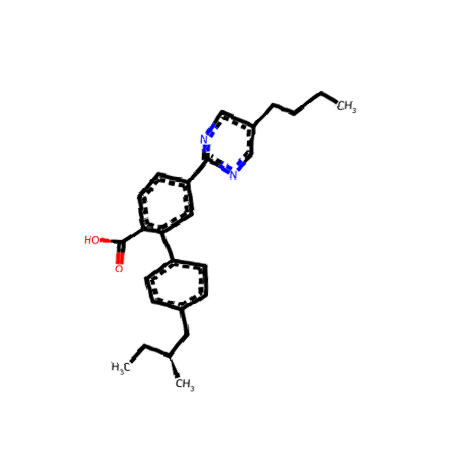 CCCCc1cnc(-c2ccc(C(=O)O)c(-c3ccc(C[C@@H](C)CC)cc3)c2)nc1